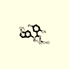 CC(C)c1ccc(C#N)c(/C(=N/NC=O)N(C)c2ccc3c(ccn3C)c2)c1